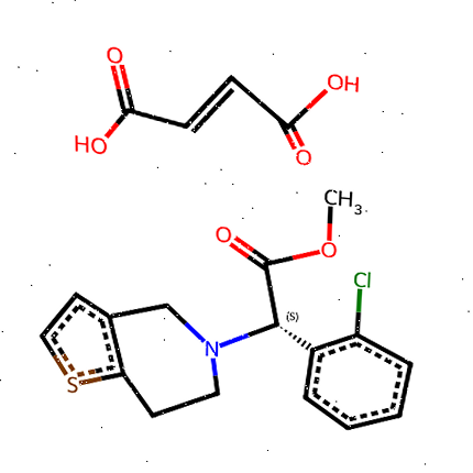 COC(=O)[C@H](c1ccccc1Cl)N1CCc2sccc2C1.O=C(O)C=CC(=O)O